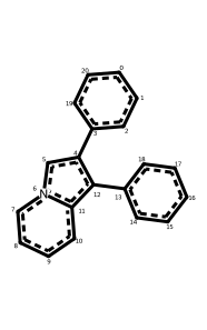 c1ccc(-c2cn3ccccc3c2-c2ccccc2)cc1